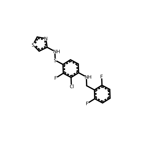 Fc1cccc(F)c1CNc1ccc(SNc2cscn2)c(F)c1Cl